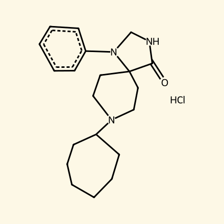 Cl.O=C1NCN(c2ccccc2)C12CCN(C1CCCCCC1)CC2